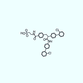 O=C(NCCS(=O)(=O)O)c1ccc(CC(C(=O)Nc2ccc(-c3ccccc3Cl)cc2)c2ccc(-c3ccccc3Cl)cc2)cc1